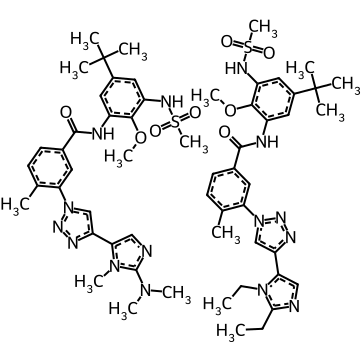 CCc1ncc(-c2cn(-c3cc(C(=O)Nc4cc(C(C)(C)C)cc(NS(C)(=O)=O)c4OC)ccc3C)nn2)n1CC.COc1c(NC(=O)c2ccc(C)c(-n3cc(-c4cnc(N(C)C)n4C)nn3)c2)cc(C(C)(C)C)cc1NS(C)(=O)=O